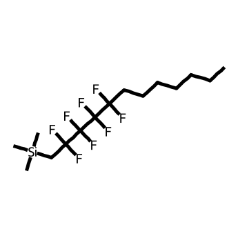 CCCCCCCC(F)(F)C(F)(F)C(F)(F)C(F)(F)C[Si](C)(C)C